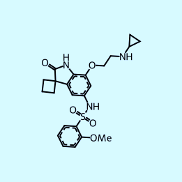 COc1ccccc1S(=O)(=O)Nc1cc(OCCNC2CC2)c2c(c1)C1(CCC1)C(=O)N2